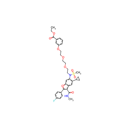 CCOC(=O)c1cccc(OCCOCCOCCN(c2cc3oc(-c4ccc(F)cc4)c(C(=O)NC)c3cc2C2CC2)S(C)(=O)=O)c1